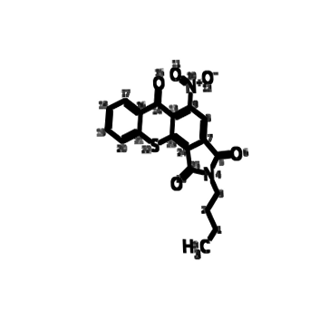 CCCCN1C(=O)c2cc([N+](=O)[O-])c3c(=O)c4ccccc4sc3c2C1=O